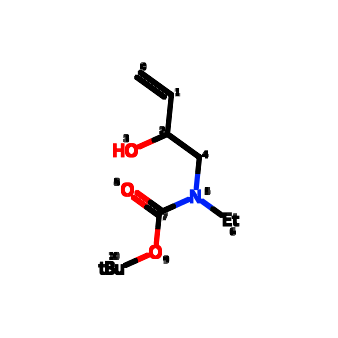 C=CC(O)CN(CC)C(=O)OC(C)(C)C